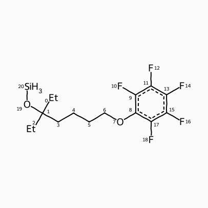 CCC(CC)(CCCCOc1c(F)c(F)c(F)c(F)c1F)O[SiH3]